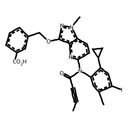 CC#CC(=O)N(c1ccc2c(n1)c(OCc1cccc(C(=O)O)c1)nn2C)c1cc(C)c(I)cc1C1CC1